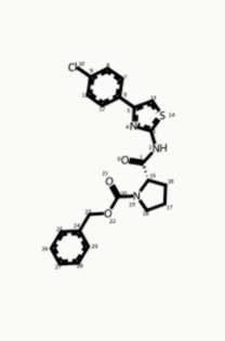 O=C(Nc1nc(-c2ccc(Cl)cc2)cs1)[C@@H]1CCCN1C(=O)OCc1ccccc1